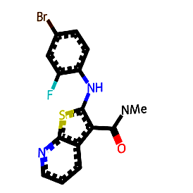 CNC(=O)c1c(Nc2ccc(Br)cc2F)sc2ncccc12